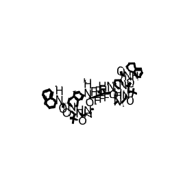 CN[C@@H](C)C(=O)NC(C(=O)N1Cc2cc(NC(=O)C(F)(F)C(F)(F)C(F)(F)C(=O)NC3C[C@@H](C(=O)NC4CCCc5ccccc54)N(C(=O)[C@@H](NC(=O)[C@H](C)NC)C(C)(C)C)C3)ccc2C[C@H]1C(=O)N[C@@H]1CCCc2ccccc21)C(C)(C)C